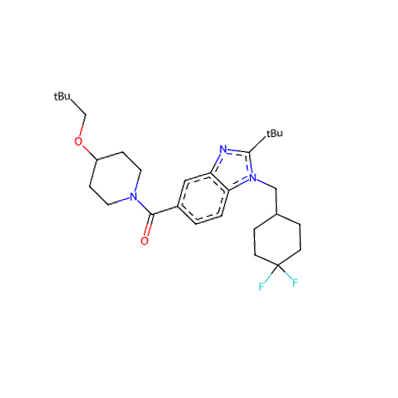 CC(C)(C)COC1CCN(C(=O)c2ccc3c(c2)nc(C(C)(C)C)n3CC2CCC(F)(F)CC2)CC1